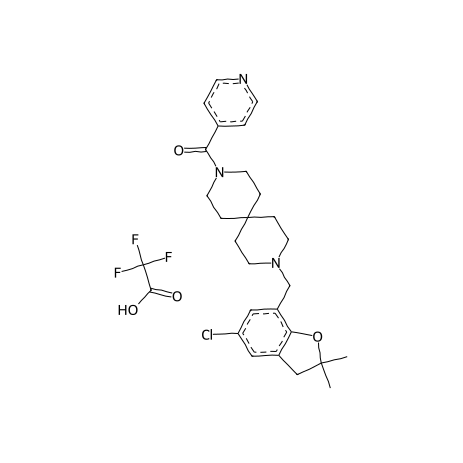 CC1(C)Cc2cc(Cl)cc(CN3CCC4(CC3)CCN(C(=O)c3ccncc3)CC4)c2O1.O=C(O)C(F)(F)F